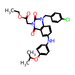 CCOC(=O)Cn1c(=O)c2cc(Nc3ccc(OC(C)C)cc3)ccc2n(Cc2ccc(Cl)cc2)c1=O